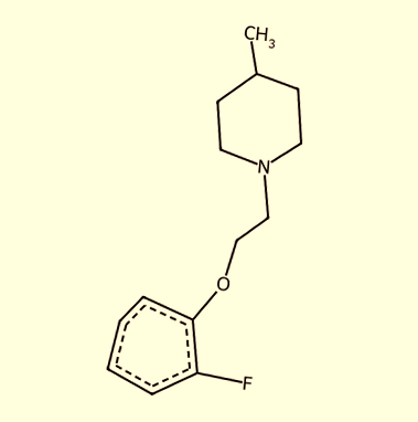 CC1CCN(CCOc2ccccc2F)CC1